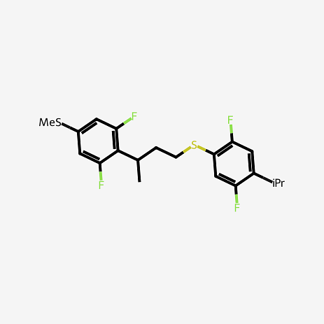 CSc1cc(F)c(C(C)CCSc2cc(F)c(C(C)C)cc2F)c(F)c1